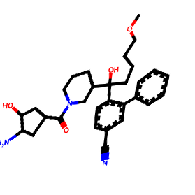 COCCCCC(O)(c1ccc(C#N)cc1-c1ccccc1)C1CCCN(C(=O)C2CC(N)C(O)C2)C1